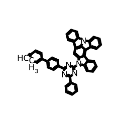 C#C/C=C\C(=C/C)c1ccc(-c2nc(-c3ccccc3)nc(-n3c4ccccc4c4c5c6ccccc6n6c7ccccc7c(cc43)c56)n2)cc1